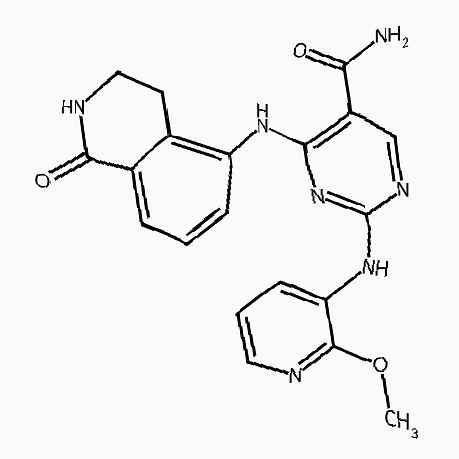 COc1ncccc1Nc1ncc(C(N)=O)c(Nc2cccc3c2CCNC3=O)n1